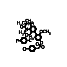 COc1cc(OS(=O)(=O)Cc2ccc(Cl)cc2)ccc1-c1ccc2c(c1COc1cc(F)ccc1C)N(C)C(=O)C(C)(C)N2